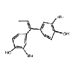 CC=C(c1ccc(O)c(C(C)(C)C)c1)c1ccc(O)c(C(C)(C)C)c1